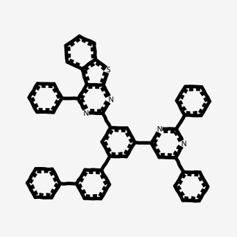 c1ccc(-c2cccc(-c3cc(-c4cc(-c5ccccc5)nc(-c5ccccc5)n4)cc(-c4nc(-c5ccccc5)c5c(n4)sc4ccccc45)c3)c2)cc1